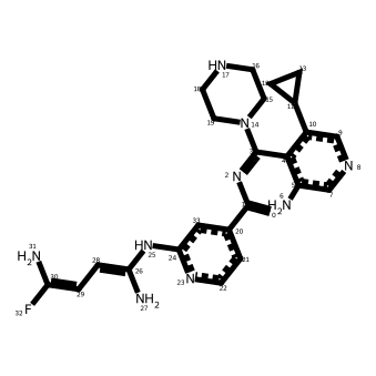 C=C(/N=C(\c1c(N)cncc1C1CC1)N1CCNCC1)c1ccnc(N/C(N)=C/C=C(\N)F)c1